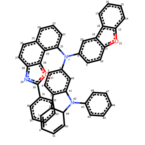 C1=CC2c3ccc(N(c4ccc5oc6ccccc6c5c4)c4cccc5ccc6nc(-c7ccccc7)oc6c45)cc3N(c3ccccc3)C2C=C1